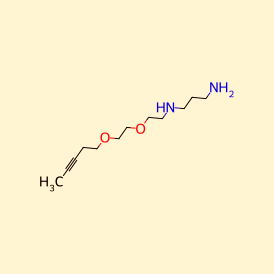 CC#CCCOCCOCCNCCCN